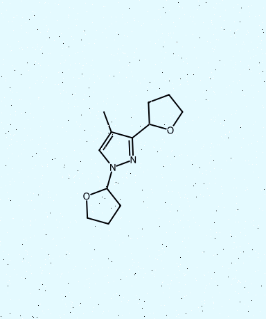 Cc1cn(C2CCCO2)nc1C1CCCO1